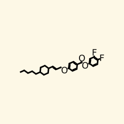 CCCCCC1CCC(C=CCOc2ccc(C(=O)Oc3ccc(F)c(F)c3)cc2)CC1